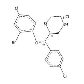 Cl.Clc1ccc([C@H](Oc2ccc(Cl)cc2Br)[C@@H]2CNCCO2)cc1